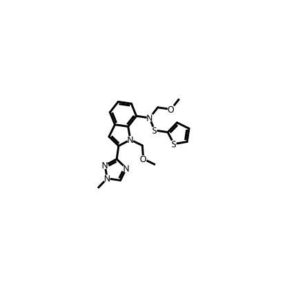 COCN(Sc1cccs1)c1cccc2cc(-c3ncn(C)n3)n(COC)c12